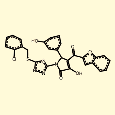 O=C(C1=C(O)C(=O)N(c2nnc(SCc3ccccc3Cl)s2)C1c1cccc(O)c1)c1cc2ccccc2o1